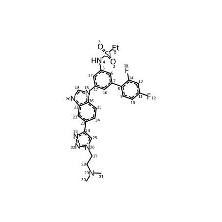 CCS(=O)(=O)Nc1cc(-c2ccc(F)cc2F)cc(-n2cnc3cc(-c4cn(CCN(C)C)nn4)ccc32)c1